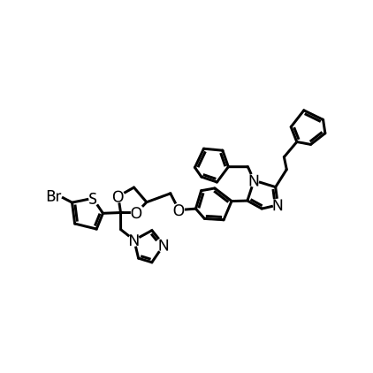 Brc1ccc(C2(Cn3ccnc3)OCC(COc3ccc(-c4cnc(CCc5ccccc5)n4Cc4ccccc4)cc3)O2)s1